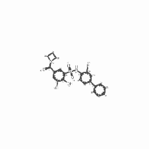 O=C(c1cc(Cl)c(O)c(S(=O)(=O)Nc2ccc(-c3ccccc3)cc2F)c1)N1CCC1